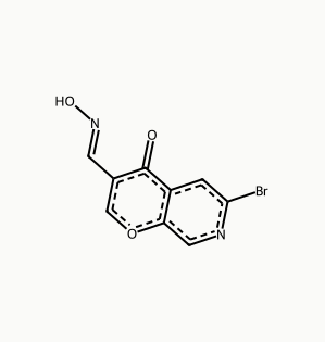 O=c1c(C=NO)coc2cnc(Br)cc12